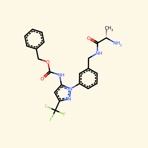 C[C@H](N)C(=O)NCc1cccc(-n2nc(C(F)(F)F)cc2NC(=O)OCc2ccccc2)c1